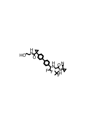 CC(C)(F)C[C@H](N[C@@H](c1ccc(-c2ccc(C3(C(=O)NCCO)CC3)cc2)cc1)C(F)F)C(=O)NC1(C#N)CC1